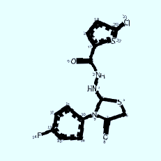 O=C(NNC1SCC(=O)N1c1ccc(F)cc1)c1ccc(Cl)s1